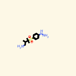 CC(CN)C(C)(C)S(=O)(=O)c1ccc(NN)cc1